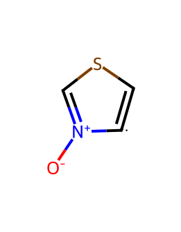 [O-][n+]1[c]csc1